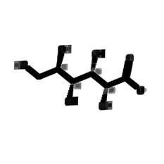 [O]C(=O)[C@H](O)[C@@H](O)[C@H](O)[C@H](O)CO